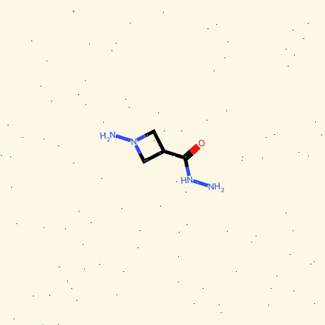 NNC(=O)C1CN(N)C1